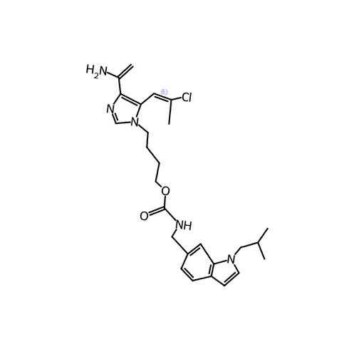 C=C(N)c1ncn(CCCCOC(=O)NCc2ccc3ccn(CC(C)C)c3c2)c1/C=C(\C)Cl